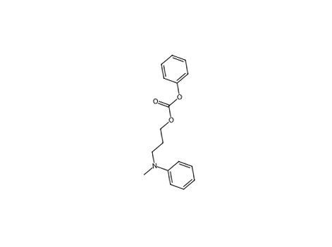 CN(CCCOC(=O)Oc1ccccc1)c1ccccc1